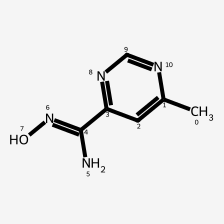 Cc1cc(/C(N)=N/O)ncn1